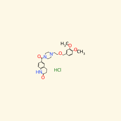 COc1ccc(COCCN2CCN(C(=O)c3ccc4c(c3)CCC(=O)N4)CC2)cc1OC.Cl